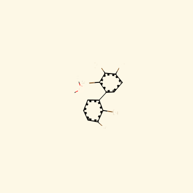 Brc1cccc(-c2ccc(Br)c(Br)c2Br)c1Br.CCOCC